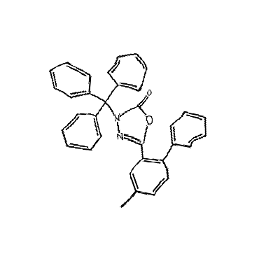 Cc1ccc(-c2ccccc2)c(-c2nn(C(c3ccccc3)(c3ccccc3)c3ccccc3)c(=O)o2)c1